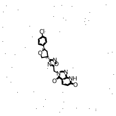 O=c1ccc2c(=O)n(Cc3nc([C@@H]4CO[C@@H](c5ccc(Cl)cc5)C4)no3)cnc2[nH]1